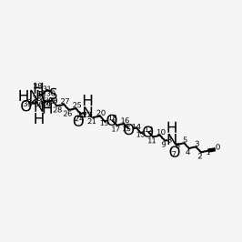 C#CCCCCC(=O)NCCCOCCOCCOCCCNC(=O)CCCC[C@@H]1SC[C@@H]2NC(=O)N[C@@H]21